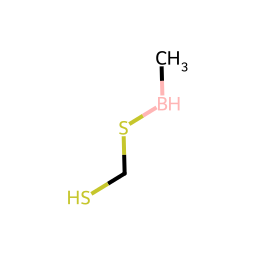 CBSCS